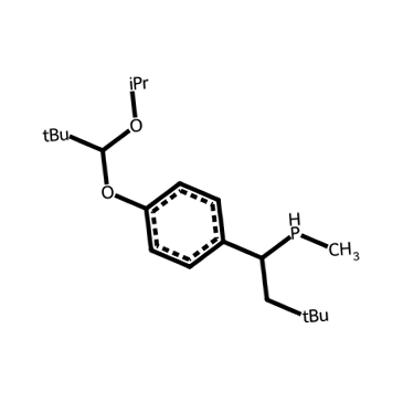 CPC(CC(C)(C)C)c1ccc(OC(OC(C)C)C(C)(C)C)cc1